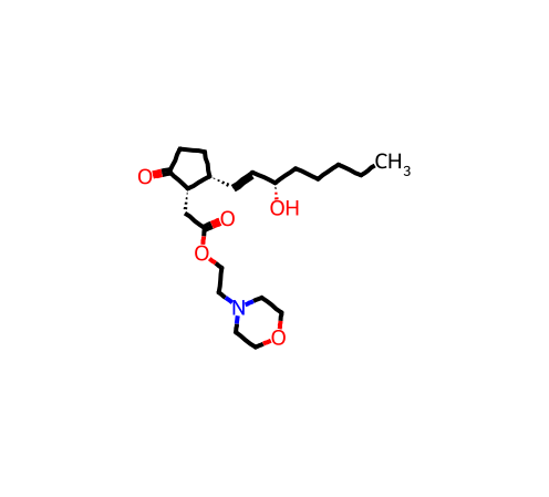 CCCCC[C@H](O)/C=C/[C@H]1CCC(=O)[C@H]1CC(=O)OCCN1CCOCC1